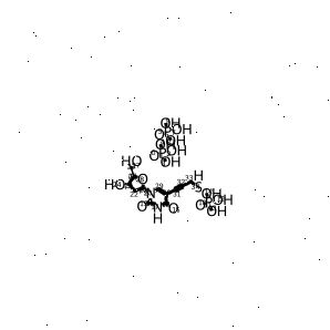 O=P(O)(O)O.O=P(O)(O)O.O=P(O)(O)O.O=c1[nH]c(=O)n([C@H]2C[C@H](O)[C@@H](CO)O2)cc1C#CCS